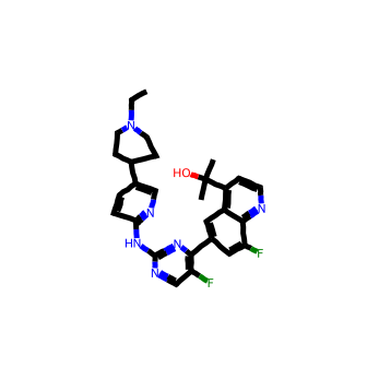 CCN1CCC(c2ccc(Nc3ncc(F)c(-c4cc(F)c5nccc(C(C)(C)O)c5c4)n3)nc2)CC1